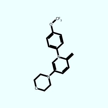 C=C1C=CC(N2CCOCC2)=CN1c1ccc(OC(F)(F)F)cc1